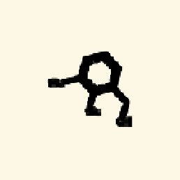 CC(C)(C)c1cccc(CO)c1C(C)(C)C